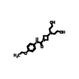 CCOc1ccc(NC(=O)N2CC(N(CCO)CCO)C2)cc1